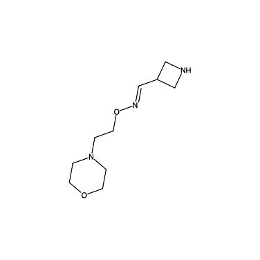 C(=NOCCN1CCOCC1)C1CNC1